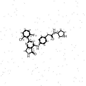 O=C(Cc1ccc(Nc2nc(-c3c(F)cccc3Cl)nc3c2C(=O)NC3)cc1)NC1CCNC1